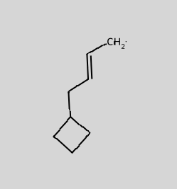 [CH2]/C=C/CC1CCC1